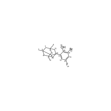 CC12CC3(C)CC(C)(C1)CC(c1cc(F)cc(Br)c1O)(C2)C3